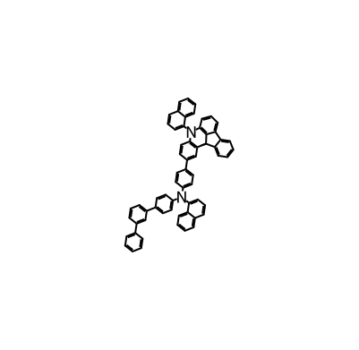 CC12c3ccccc3-c3cccc(c31)N(c1cccc3ccccc13)c1ccc(-c3ccc(N(c4ccc(-c5cccc(-c6ccccc6)c5)cc4)c4cccc5ccccc45)cc3)cc12